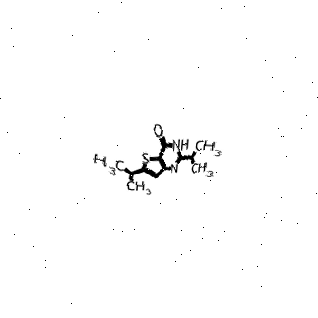 CC(C)c1nc2cc(C(C)C)sc2c(=O)[nH]1